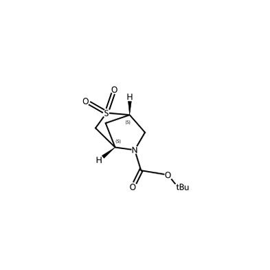 CC(C)(C)OC(=O)N1C[C@@H]2C[C@H]1CS2(=O)=O